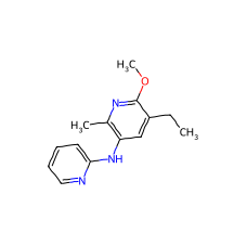 CCc1cc(Nc2ccccn2)c(C)nc1OC